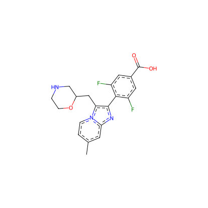 Cc1ccn2c(CC3CNCCO3)c(-c3c(F)cc(C(=O)O)cc3F)nc2c1